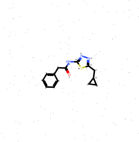 O=C(Cc1ccccc1)Nc1nnc(CC2CC2)s1